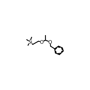 C[C](OCC[Si](C)(C)C)OCc1ccccc1